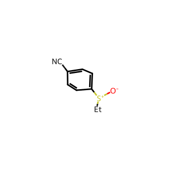 [CH2]C[S+]([O-])c1ccc(C#N)cc1